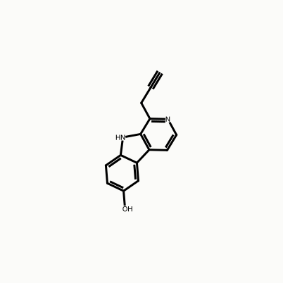 C#CCc1nccc2c1[nH]c1ccc(O)cc12